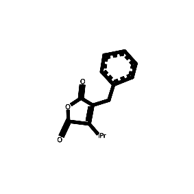 CC(C)C1=C(Cc2ccccc2)C(=O)OC1=O